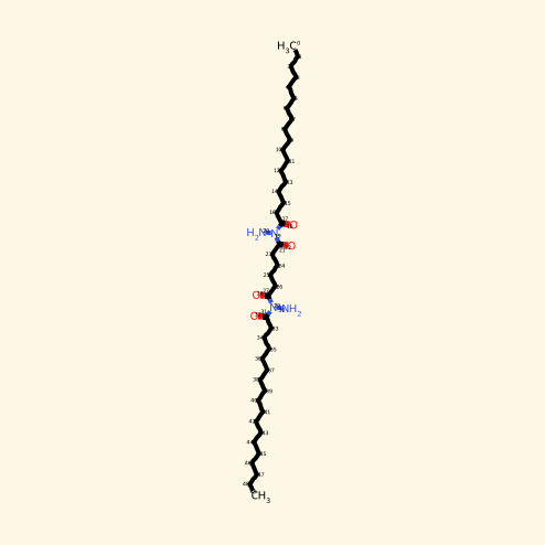 CCCCCCCCCCCCCCCCCC(=O)N(N)C(=O)CCCCC(=O)N(N)C(=O)CCCCCCCCCCCCCCCCC